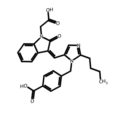 CCCCc1ncc(C=C2C(=O)N(CC(=O)O)c3ccccc32)n1Cc1ccc(C(=O)O)cc1